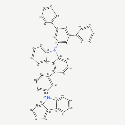 c1ccc(-c2cc(-c3ccccc3)cc(-n3c4ccccc4c4c(-c5cccc(-n6c7ccccc7c7ccccc76)c5)cccc43)c2)cc1